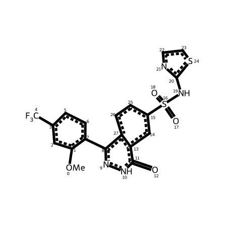 COc1cc(C(F)(F)F)ccc1-c1n[nH]c(=O)c2cc(S(=O)(=O)Nc3nccs3)ccc12